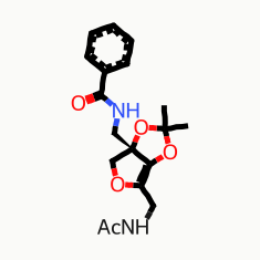 CC(=O)NCC1=C2OC(C)(C)O[C@@]2(CNC(=O)c2ccccc2)CO1